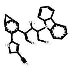 C/C=C(/c1cc2c(cc1C1C=C(C#N)CN1)C2)C(C)C(CC)N1c2ccccc2C2C=CC=CC21